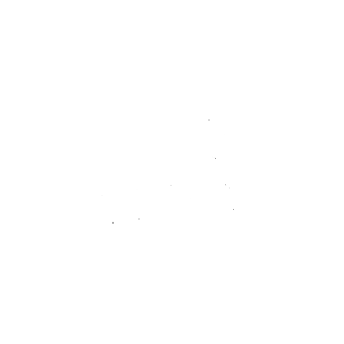 CC(N)N1C=CN(C)C1.OB(O)F.OB(O)F.OB(O)F.OB(O)F